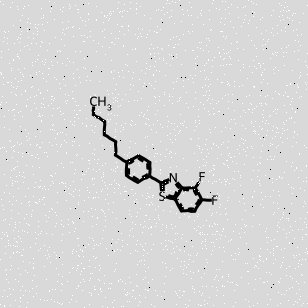 CCCCCCc1ccc(-c2nc3c(F)c(F)ccc3s2)cc1